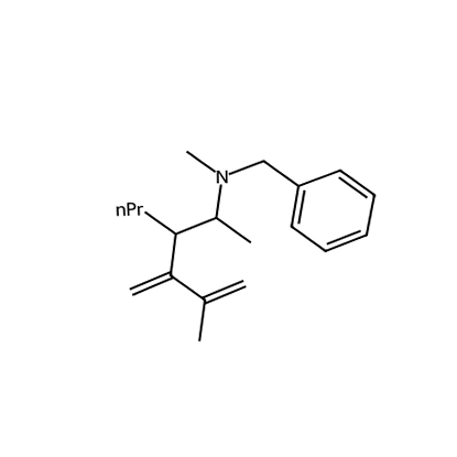 C=C(C)C(=C)C(CCC)C(C)N(C)Cc1ccccc1